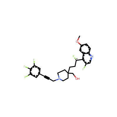 COc1ccc2ncc(F)c([C@H](F)CCC3(CO)CCN(CC#Cc4cc(F)c(F)c(F)c4)CC3)c2c1